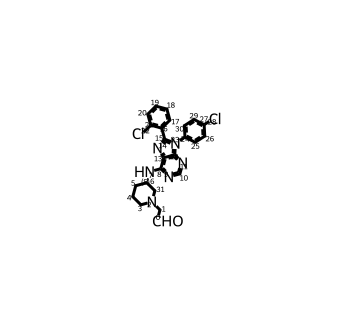 O=CCN1CCC[C@H](Nc2ncnc3c2nc(-c2ccccc2Cl)n3-c2ccc(Cl)cc2)C1